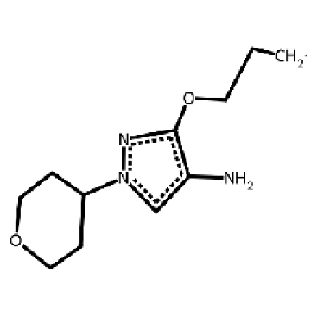 [CH2]CCOc1nn(C2CCOCC2)cc1N